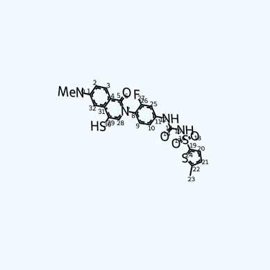 CNc1ccc2c(=O)n(-c3ccc(NC(=O)NS(=O)(=O)c4ccc(C)s4)cc3F)cc(S)c2c1